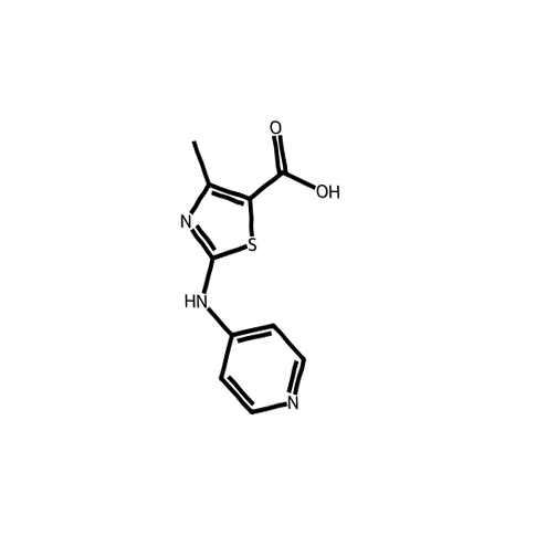 Cc1nc(Nc2ccncc2)sc1C(=O)O